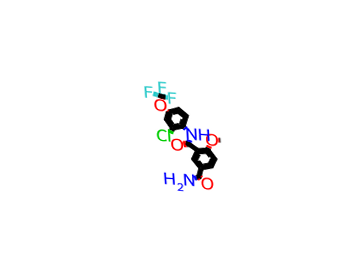 COc1ccc(C(N)=O)cc1C(=O)Nc1ccc(OC(F)(F)F)cc1Cl